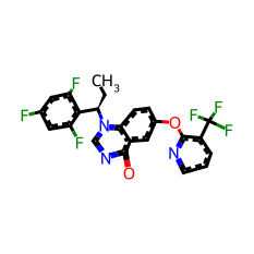 CC[C@H](c1c(F)cc(F)cc1F)n1cnc(=O)c2cc(Oc3ncccc3C(F)(F)F)ccc21